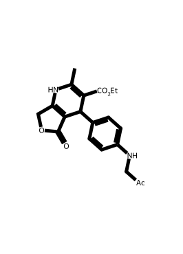 CCOC(=O)C1=C(C)NC2=C(C(=O)OC2)C1c1ccc(NCC(C)=O)cc1